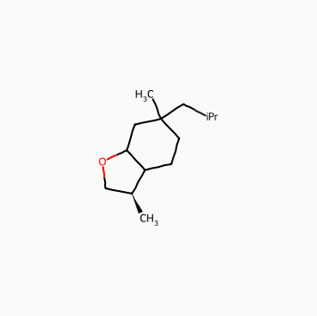 CC(C)CC1(C)CCC2C(C1)OC[C@@H]2C